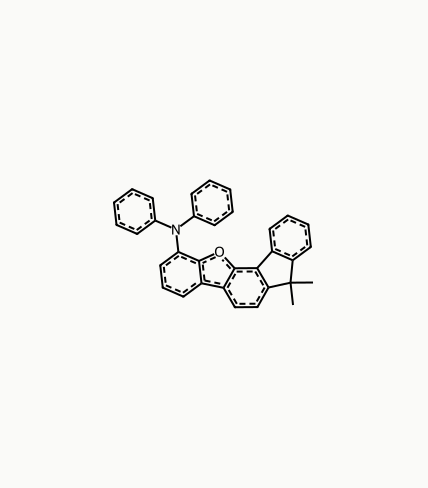 CC1(C)c2ccccc2-c2c1ccc1c2oc2c(N(c3ccccc3)c3ccccc3)cccc21